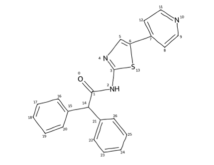 O=C(Nc1ncc(-c2ccncc2)s1)C(c1ccccc1)c1ccccc1